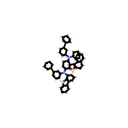 c1ccc(-c2cccc(N(c3ccc(N(c4ccccc4)c4cccc(-c5ccccc5)c4)c4c3oc3ccc5ccccc5c34)c3cccc4c3sc3ccccc34)c2)cc1